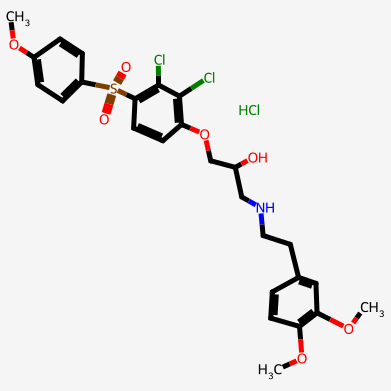 COc1ccc(S(=O)(=O)c2ccc(OCC(O)CNCCc3ccc(OC)c(OC)c3)c(Cl)c2Cl)cc1.Cl